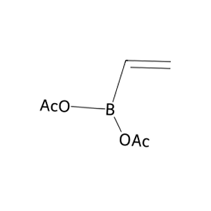 C=CB(OC(C)=O)OC(C)=O